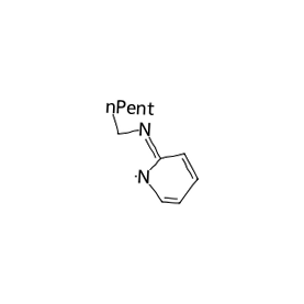 CCCCCC/N=C1/C=CC=C[N]1